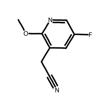 COc1ncc(F)cc1CC#N